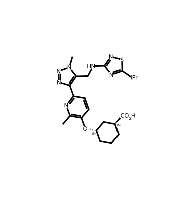 Cc1nc(-c2nnn(C)c2CNc2nsc(C(C)C)n2)ccc1O[C@H]1CCC[C@H](C(=O)O)C1